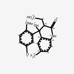 COc1ccc(Cl)cc1C1(O)c2cc(C(F)(F)F)ccc2NC(=O)C1CC(=O)O